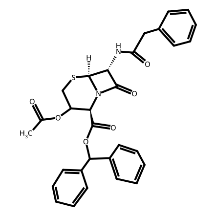 CC(=O)OC1CS[C@H]2[C@H](NC(=O)Cc3ccccc3)C(=O)N2[C@H]1C(=O)OC(c1ccccc1)c1ccccc1